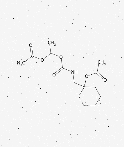 CC(=O)OC(C)OC(=O)NCC1(OC(C)=O)CCCCC1